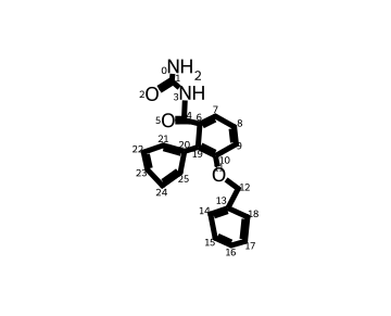 NC(=O)NC(=O)c1cccc(OCc2ccccc2)c1-c1ccccc1